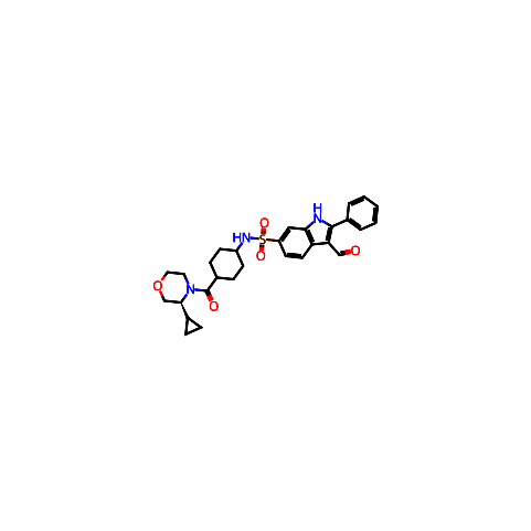 O=Cc1c(-c2ccccc2)[nH]c2cc(S(=O)(=O)NC3CCC(C(=O)N4CCOC[C@@H]4C4CC4)CC3)ccc12